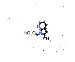 Cc1cc2cccnc2n1CC(=O)O